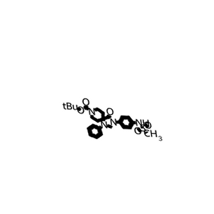 CC(C)(C)OC(=O)N1CCC2(CC1)C(=O)N(c1ccc(NS(C)(=O)=O)cc1)CN2c1ccccc1